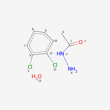 CC(=O)NN.Clc1ccccc1Cl.O